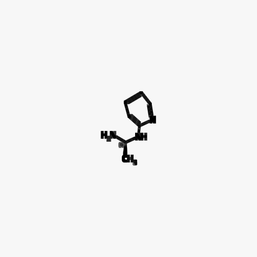 C[C@@H](N)Nc1ccccn1